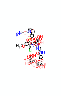 COc1ccc2c(S(=O)(=O)Oc3cc(C(=O)N(C)CCOCCN=[N+]=[N-])ccc3OC3O[C@H](C(=O)O)[C@@H](O)[C@H](O)[C@H]3O)cc3c(c2c1)[C@H](CCl)CN3C(=O)c1cn2cc(NC(=O)c3ccc(OC4O[C@H](CO[C@@H]5O[C@H](C(=O)O)[C@@H](O)[C@H](O)[C@H]5O)[C@H](O)[C@H](O)[C@H]4O)cc3)ccc2n1